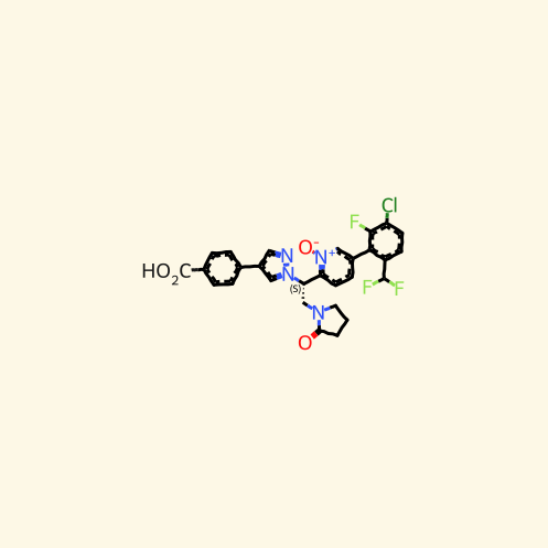 O=C(O)c1ccc(-c2cnn([C@@H](CN3CCCC3=O)c3ccc(-c4c(C(F)F)ccc(Cl)c4F)c[n+]3[O-])c2)cc1